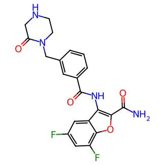 NC(=O)c1oc2c(F)cc(F)cc2c1NC(=O)c1cccc(CN2CCNCC2=O)c1